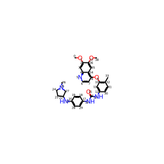 COc1cc2nccc(Oc3cc(NC(=O)Nc4ccc(NC5CCN(C)C5)cc4)ccc3C)c2cc1OC